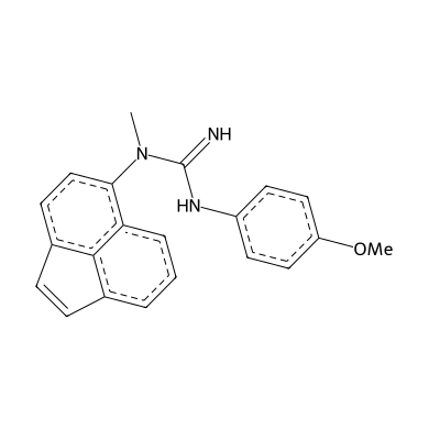 COc1ccc(NC(=N)N(C)c2ccc3c4c(cccc24)C=C3)cc1